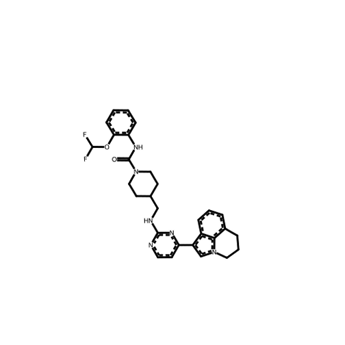 O=C(Nc1ccccc1OC(F)F)N1CCC(CNc2nccc(-c3cn4c5c(cccc35)CCC4)n2)CC1